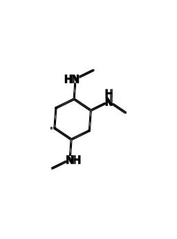 CNC1[CH]CC(NC)C(NC)C1